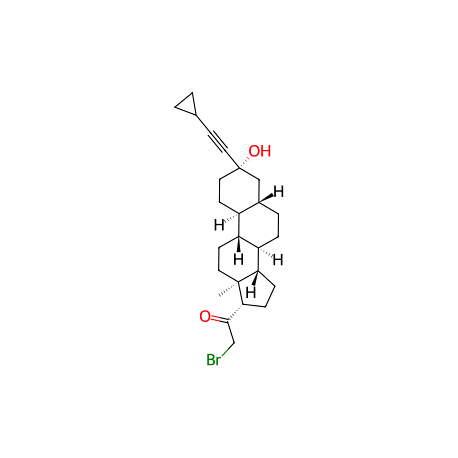 C[C@]12CC[C@H]3[C@@H](CC[C@H]4C[C@](O)(C#CC5CC5)CC[C@@H]43)[C@@H]1CC[C@@H]2C(=O)CBr